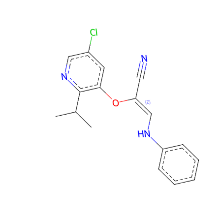 CC(C)c1ncc(Cl)cc1O/C(C#N)=C\Nc1ccccc1